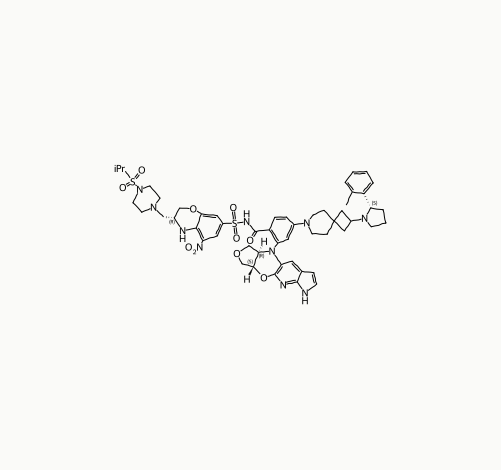 Cc1ccccc1[C@@H]1CCCN1C1CC2(CCN(c3ccc(C(=O)NS(=O)(=O)c4cc5c(c([N+](=O)[O-])c4)N[C@H](CN4CCN(S(=O)(=O)C(C)C)CC4)CO5)c(N4c5cc6cc[nH]c6nc5O[C@@H]5COC[C@H]54)c3)CC2)C1